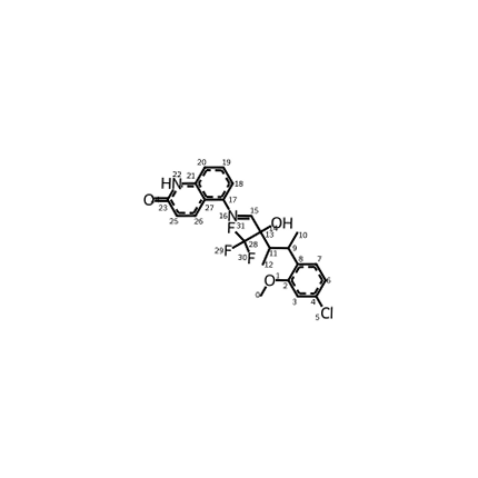 COc1cc(Cl)ccc1C(C)C(C)C(O)(C=Nc1cccc2[nH]c(=O)ccc12)C(F)(F)F